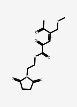 COC/C(=C/C(=O)C(=O)OCCN1C(=O)CCC1=O)C(C)=O